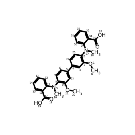 COc1cc(-c2ccc(N(C)c3ccccc3C(=O)O)c(OC)c2)ccc1N(C)c1ccccc1C(=O)O